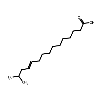 CC(C)CC=CCCCCCCCCCC(=O)O